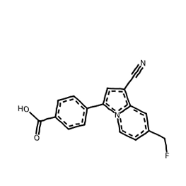 N#Cc1cc(-c2ccc(C(=O)O)cc2)n2ccc(CF)cc12